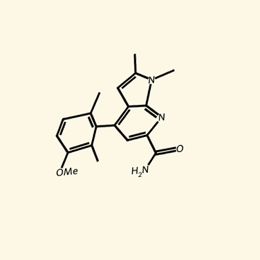 COc1ccc(C)c(-c2cc(C(N)=O)nc3c2cc(C)n3C)c1C